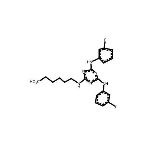 O=C(O)CCCCCNc1nc(Nc2cccc(F)c2)nc(Nc2cccc(F)c2)n1